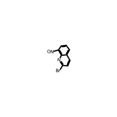 O=Nc1cccc2ccc(Br)nc12